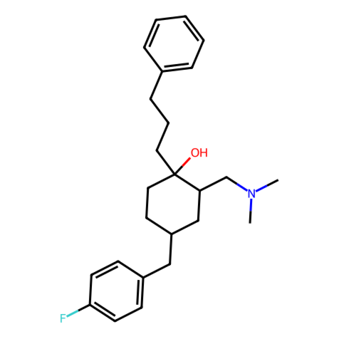 CN(C)CC1CC(Cc2ccc(F)cc2)CCC1(O)CCCc1ccccc1